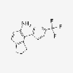 Nc1ccc2c(c1-c1ccc(C(F)(F)F)cc1)CCC2